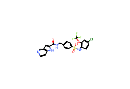 O=C(NCc1ccc(S(=O)(=O)Nc2ccc(Cl)cc2OC(F)(F)F)cc1)c1cc2cnccc2[nH]1